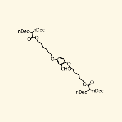 CCCCCCCCCCC(CCCCCCCCCC)C(=O)OCCCCCCOc1ccc(OCCCCCCOC(=O)C(CCCCCCCCCC)CCCCCCCCCC)c(C=O)c1